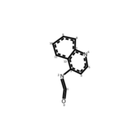 O=C=Nc1ccnc2ccccc12